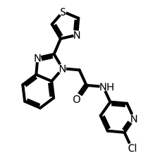 O=C(Cn1c(-c2cscn2)nc2ccccc21)Nc1ccc(Cl)nc1